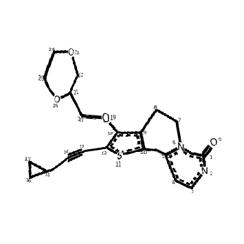 O=c1nccc2n1CCc1c-2sc(C#CC2CC2)c1OCC1COCCO1